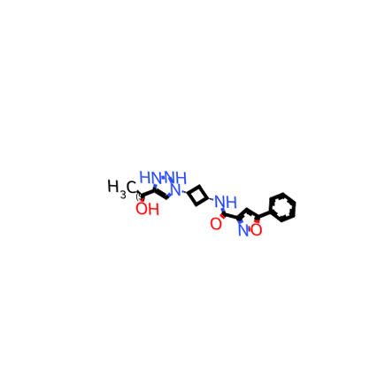 C[C@H](O)C1=CN([C@H]2C[C@@H](NC(=O)c3cc(-c4ccccc4)on3)C2)NN1